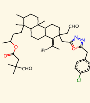 C/C(=C1/C2CCC3C(C)(CCC(C)OC(=O)CC(C)(C)C=O)C(C)CCC3(C)C2CCC1(CC=O)Cc1nnc(Cc2ccc(Cl)cc2)o1)C(C)C